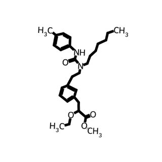 CCCCCCCN(CCc1cccc(CC(OCC)C(=O)OC)c1)C(=O)Nc1ccc(C)cc1